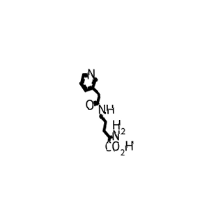 NC(CCCNC(=O)Cc1cccnc1)C(=O)O